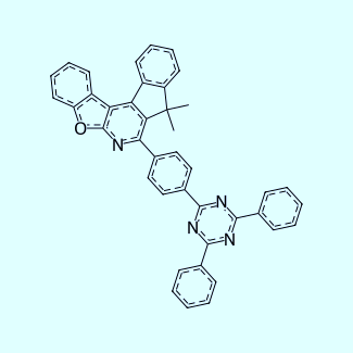 CC1(C)c2ccccc2-c2c1c(-c1ccc(-c3nc(-c4ccccc4)nc(-c4ccccc4)n3)cc1)nc1oc3ccccc3c21